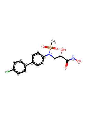 CS(=O)(=O)N(C[C@H](O)C(=O)NO)c1ccc(-c2ccc(Cl)cc2)cc1